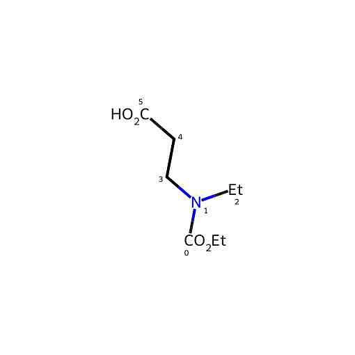 CCOC(=O)N(CC)CCC(=O)O